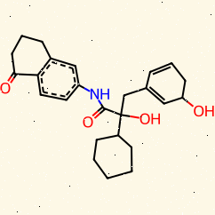 O=C1CCCc2cc(NC(=O)C(O)(CC3=CC(O)CC=C3)C3CCCCC3)ccc21